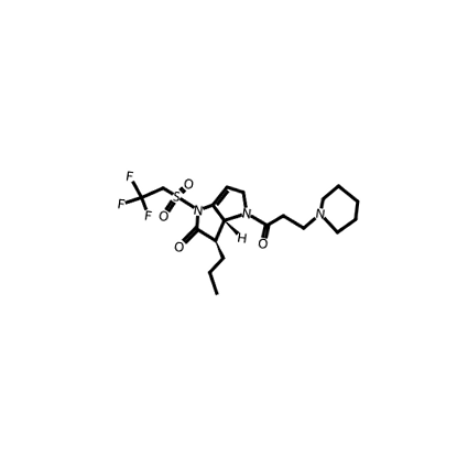 CCC[C@H]1C(=O)N(S(=O)(=O)CC(F)(F)F)C2=CCN(C(=O)CCN3CCCCC3)[C@@H]21